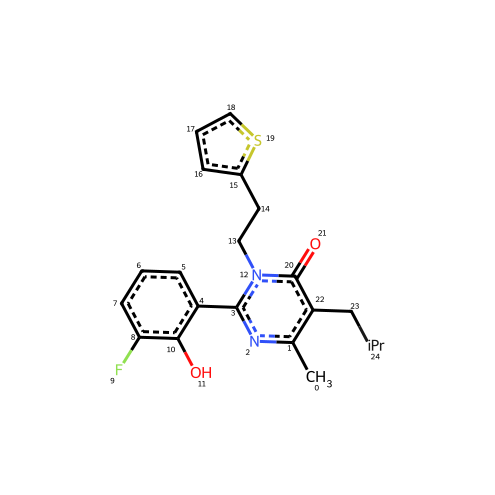 Cc1nc(-c2cccc(F)c2O)n(CCc2cccs2)c(=O)c1CC(C)C